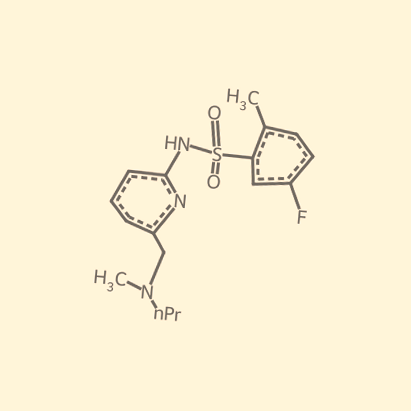 CCCN(C)Cc1cccc(NS(=O)(=O)c2cc(F)ccc2C)n1